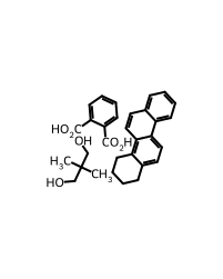 CC(C)(CO)CO.O=C(O)c1ccccc1C(=O)O.c1ccc2c(c1)ccc1c3c(ccc12)CCCC3